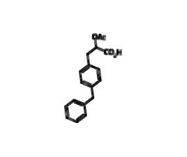 CC(=O)OC(Cc1ccc(Cc2ccccc2)cc1)C(=O)O